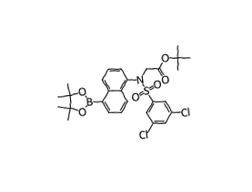 CC(C)(C)OC(=O)CN(c1cccc2c(B3OC(C)(C)C(C)(C)O3)cccc12)S(=O)(=O)c1cc(Cl)cc(Cl)c1